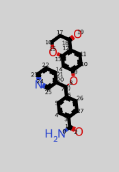 NC(=O)c1ccc([C@@H](Oc2ccc3c(c2)OCCC3=O)c2cccnc2)cc1